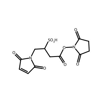 O=C(CC(CN1C(=O)C=CC1=O)S(=O)(=O)O)ON1C(=O)CCC1=O